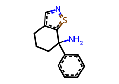 NC1(c2ccccc2)CCCc2cnsc21